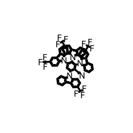 N#Cc1c(-n2c3ccccc3c3cc(C(F)(F)F)ccc32)cc(-n2c3ccccc3c3cc(C(F)(F)F)ccc32)c(-n2c3ccccc3c3cc(C(F)(F)F)ccc32)c1-n1c2ccccc2c2cc(C(F)(F)F)ccc21